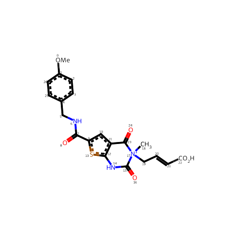 COc1ccc(CNC(=O)c2cc3c(s2)NC(=O)[N+](C)(C/C=C/C(=O)O)C3=O)cc1